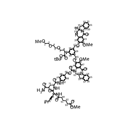 COCCOCCOCCN(C(=O)OC(C)(C)C)c1cc(COc2cc3c(cc2OC)C(=O)N2c4ccccc4C[C@H]2C=N3)cc(COc2cc3c(cc2OC)C(=O)N2c4ccccc4CC2CN3C(=O)OCc2ccc(NC(=O)[C@H](CCC(N)=O)NC(=O)C(C#CC(C)C)NC(=O)CCCCC(=O)OC)cc2)c1